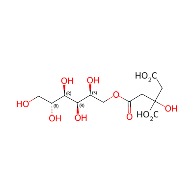 O=C(O)CC(O)(CC(=O)OC[C@H](O)[C@@H](O)[C@H](O)[C@H](O)CO)C(=O)O